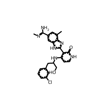 CN=C(N)c1cc(C)c2nc(-c3c(NC(CO)Cc4cccc(Cl)c4)cc[nH]c3=O)[nH]c2c1